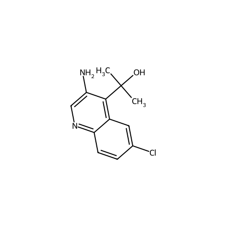 CC(C)(O)c1c(N)cnc2ccc(Cl)cc12